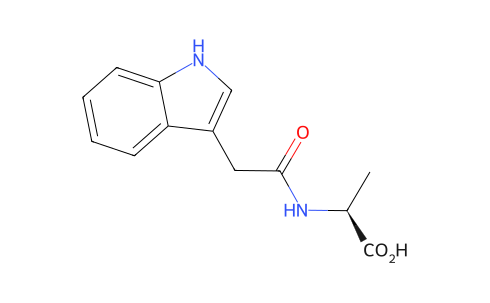 C[C@H](NC(=O)Cc1c[nH]c2ccccc12)C(=O)O